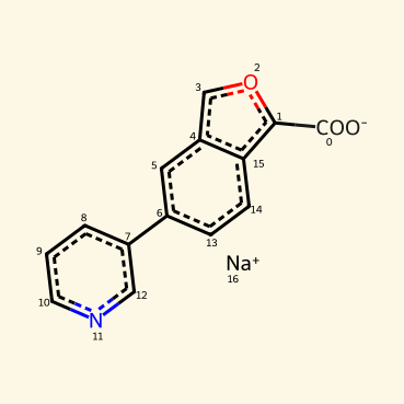 O=C([O-])c1occ2cc(-c3cccnc3)ccc12.[Na+]